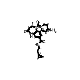 C[C@@H]1CC(=O)Nc2cc(C(=O)NCCC3CC3)ccc2N1C(=O)N1CCC(N)CC1